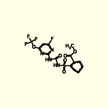 COC(=O)c1ccccc1S(=O)(=O)NC(=O)Nc1nc(F)cc(OC(F)(F)F)n1